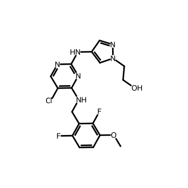 COc1ccc(F)c(CNc2nc(Nc3cnn(CCO)c3)ncc2Cl)c1F